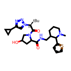 CN1CCCC(CNC(=O)C2CC(O)CN2C(=O)[C@@H](n2cc(C3CC3)nn2)C(C)(C)C)C1c1cccs1